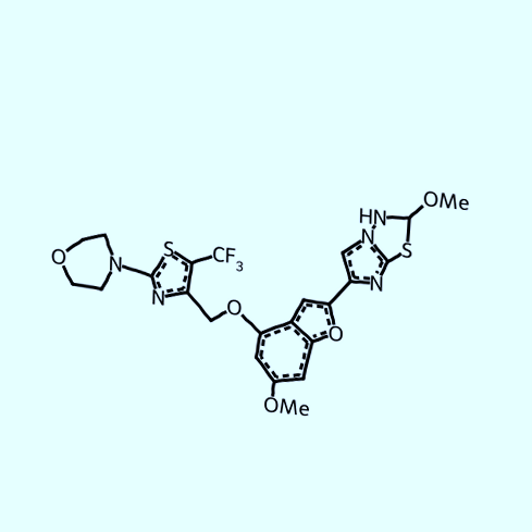 COc1cc(OCc2nc(N3CCOCC3)sc2C(F)(F)F)c2cc(-c3cn4c(n3)SC(OC)N4)oc2c1